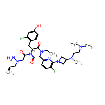 C=CCN(N)CC(=O)N(C=O)[C@@H](Cc1ccc(O)cc1F)C(=O)N(CC)Cc1ccc(F)c(N2CC(N(C)CCN(C)C)C2)n1